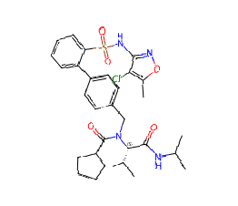 Cc1onc(NS(=O)(=O)c2ccccc2-c2ccc(CN(C(=O)C3CCCC3)[C@H](C(=O)NC(C)C)C(C)C)cc2)c1Cl